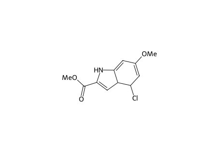 COC(=O)C1=CC2C(=CC(OC)=CC2Cl)N1